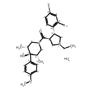 CCN1C[C@@H](C(=O)N2C[C@@H](C)[C@@](O)(c3ccc(OC)cc3)[C@@H](C)C2)[C@H](c2ccc(F)cc2F)C1.Cl